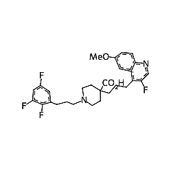 COc1ccc2ncc(F)c(CCCC3(C(=O)O)CCN(CCCc4cc(F)cc(F)c4F)CC3)c2c1